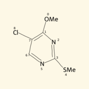 COc1nc(SC)n[c]c1Cl